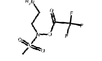 CS(=O)(=O)N(CCN)OC(=O)C(F)(F)F